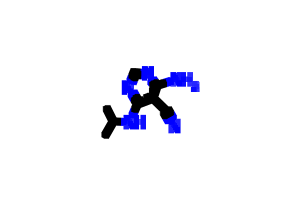 CC(C)Nc1ncnc(N)c1C#N